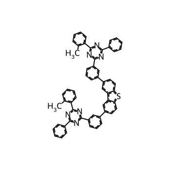 Cc1ccccc1-c1nc(-c2ccccc2)nc(-c2cccc(-c3ccc4sc5ccc(-c6cccc(-c7nc(-c8ccccc8)nc(-c8ccccc8C)n7)c6)cc5c4c3)c2)n1